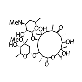 CN[C@H]1C[C@@H](C)O[C@@H](O[C@@H]2C[C@H](O[C@H]3C[C@@](C)(OC)[C@@H](O)[C@H](C)O3)[C@@H](C)C(=O)O[C@H](I)[C@@](C)(O)[C@H](O)[C@@H](C)C(=O)[C@H](C)C[C@@]2(C)O)[C@@H]1O